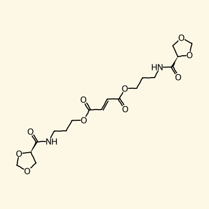 O=C(/C=C/C(=O)OCCCNC(=O)[C@H]1COCO1)OCCCNC(=O)[C@H]1COCO1